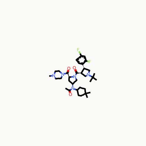 CC(=O)N(C1CCC(C)(C)CC1)[C@H]1C[C@@H](C(=O)N2CCN(C)CC2)N(C(=O)[C@@H]2CN(C(C)(C)C)C[C@H]2c2ccc(F)cc2F)C1